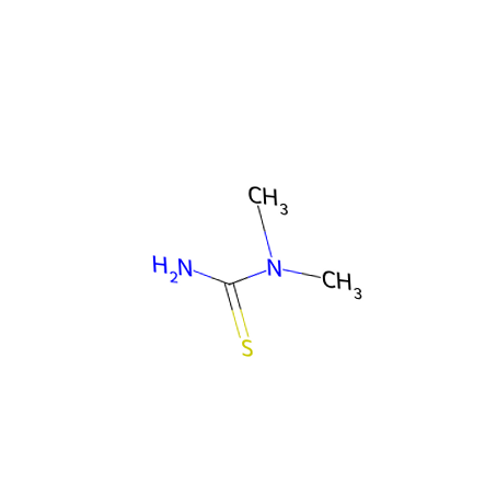 CN(C)C(N)=S